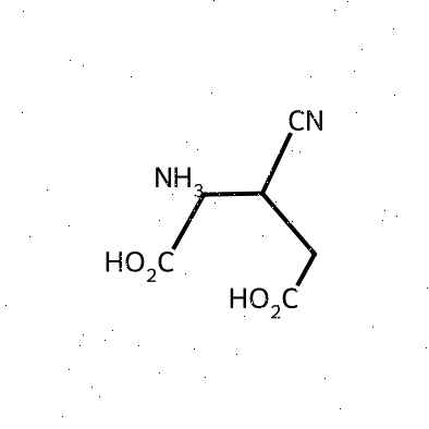 N.N#CC(CC(=O)O)CC(=O)O